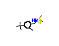 Cc1cc(C(C)(C)C)ccc1CN[SH](C)C